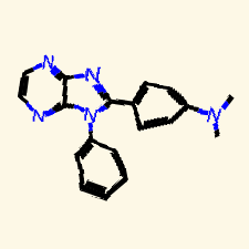 CN(C)c1ccc(-c2nc3nccnc3n2-c2ccccc2)cc1